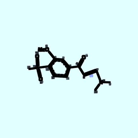 COc1cc(C(=O)/C=C/N(C)C)ccc1S(C)(=O)=O